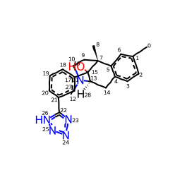 Cc1ccc2c(c1)[C@@]1(C)CCN(C)[C@H](C2)C1(O)c1cccc(-c2nnn[nH]2)c1